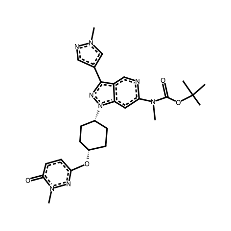 CN(C(=O)OC(C)(C)C)c1cc2c(cn1)c(-c1cnn(C)c1)nn2[C@H]1CC[C@@H](Oc2ccc(=O)n(C)n2)CC1